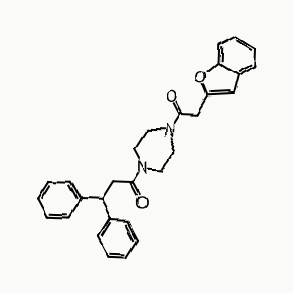 O=C(Cc1cc2ccccc2o1)N1CCN(C(=O)CC(c2ccccc2)c2ccccc2)CC1